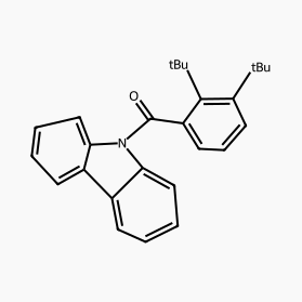 CC(C)(C)c1cccc(C(=O)n2c3ccccc3c3ccccc32)c1C(C)(C)C